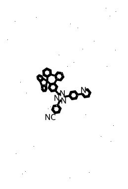 N#Cc1ccc(-c2nc(-c3ccc(-c4ccccn4)cc3)nc(-c3ccc4c(c3)-c3ccccc3-c3ccccc3C43c4ccccc4-c4ccccc43)n2)cc1